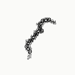 CCCCCOc1ccc(Oc2ccc(N=Nc3ccc(/N=N/c4cc(OC)c(N=Nc5ccc(Oc6ccc(OCCCCC)cc6)cc5C)cc4C)cc3)c(C)c2)cc1